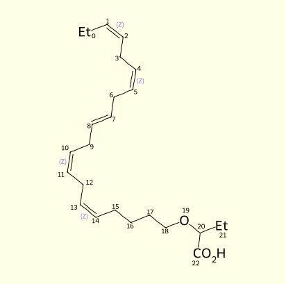 CC/C=C\C/C=C\CC=CC/C=C\C/C=C\CCCCOC(CC)C(=O)O